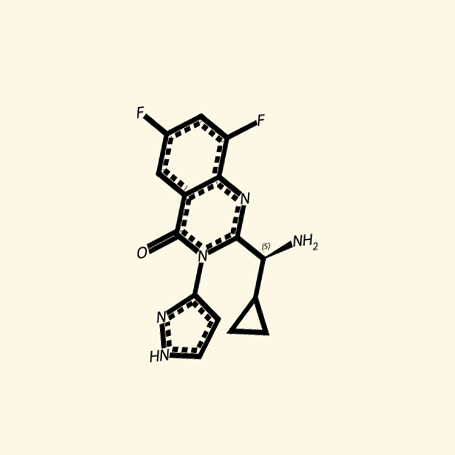 N[C@H](c1nc2c(F)cc(F)cc2c(=O)n1-c1cc[nH]n1)C1CC1